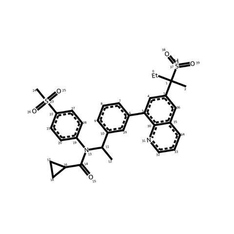 CCC(C)(c1cc(-c2cccc(C(C)N(C(=O)C3CC3)c3ccc(S(C)(=O)=O)cc3)c2)c2ncccc2c1)[SH](=O)=O